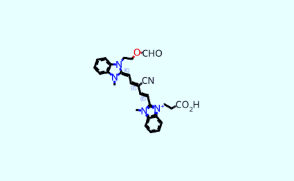 CN1\C(=C/C=C(C#N)/C=C/c2n(C)c3ccccc3[n+]2CCC(=O)O)N(CCOC=O)c2ccccc21